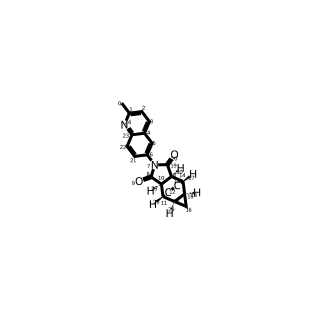 Cc1ccc2cc(N3C(=O)[C@@H]4[C@@H]5CC[C@@H]([C@H]6C[C@H]65)[C@@H]4C3=O)ccc2n1